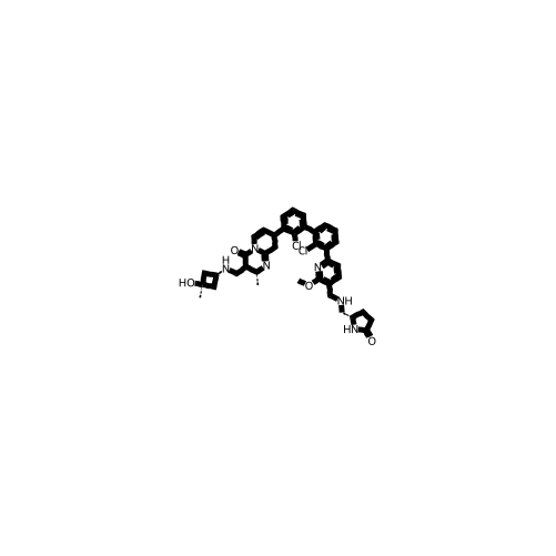 COc1nc(-c2cccc(-c3cccc(C4C=CN5C(=O)C(CN[C@H]6C[C@](C)(O)C6)[C@@H](C)N=C5C4)c3Cl)c2Cl)ccc1CNC[C@@H]1CCC(=O)N1